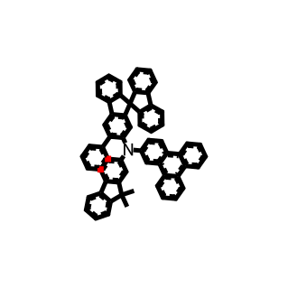 CC1(C)c2ccccc2-c2ccc(N(c3ccc4c5ccccc5c5ccccc5c4c3)c3cc4c(cc3-c3ccccc3)-c3ccccc3C43c4ccccc4-c4ccccc43)cc21